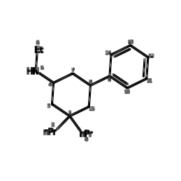 CCCC1(CCC)CC(NCC)CC(c2ccccc2)C1